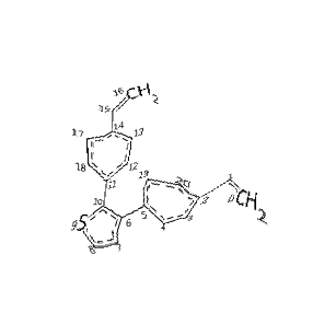 C=Cc1ccc(-c2ccsc2-c2ccc(C=C)cc2)cc1